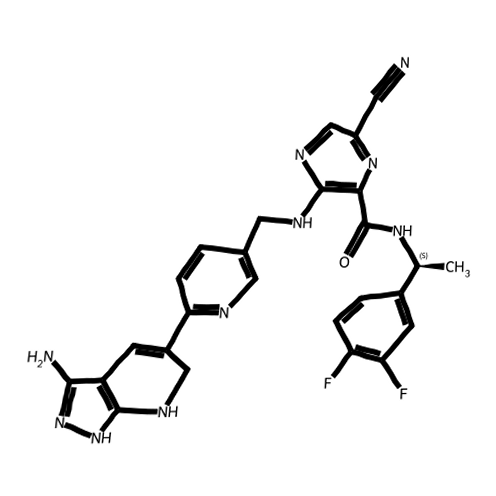 C[C@H](NC(=O)c1nc(C#N)cnc1NCc1ccc(C2=Cc3c(N)n[nH]c3NC2)nc1)c1ccc(F)c(F)c1